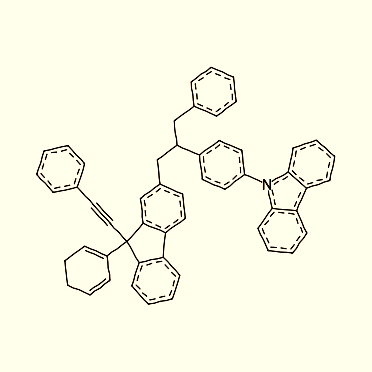 C(#CC1(C2=CCCC=C2)c2ccccc2-c2ccc(CC(Cc3ccccc3)c3ccc(-n4c5ccccc5c5ccccc54)cc3)cc21)c1ccccc1